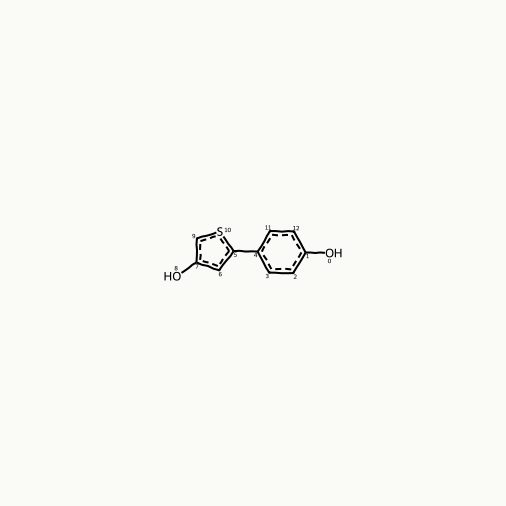 Oc1ccc(-c2cc(O)cs2)cc1